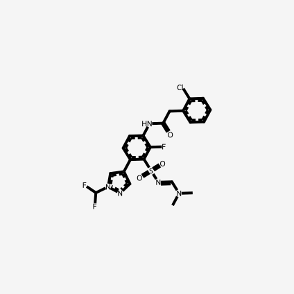 CN(C)/C=N/S(=O)(=O)c1c(-c2cnn(C(F)F)c2)ccc(NC(=O)Cc2ccccc2Cl)c1F